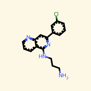 NCCCNc1nc(-c2cccc(Cl)c2)cc2ncccc12